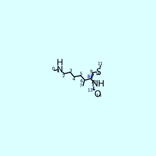 CNCCCCC(C)/C(=C/SC)NC=O